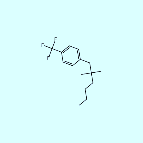 CCCCC(C)(C)Cc1ccc(C(F)(F)F)cc1